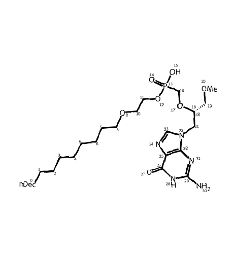 CCCCCCCCCCCCCCCCCCOCCOP(=O)(O)CO[C@H](COC)Cn1cnc2c(=O)[nH]c(N)nc21